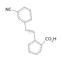 N#Cc1cccc(/C=C/c2ccccc2C(=O)O)c1